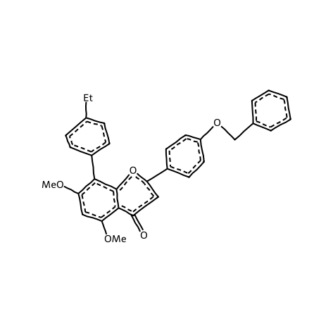 CCc1ccc(-c2c(OC)cc(OC)c3c(=O)cc(-c4ccc(OCc5ccccc5)cc4)oc23)cc1